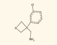 NCC1(c2cccc(Cl)c2)COC1